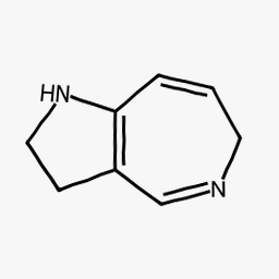 C1=CC2=C(C=NC1)CCN2